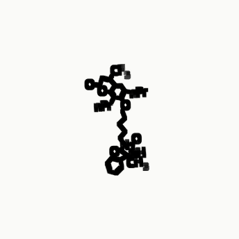 CCCc1cc2c(C(F)(F)F)cc(=O)oc2c(CCC)c1OCCCCCN1C(=O)NC(C)(c2ccccc2)C1=O